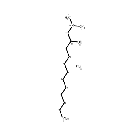 CCCCCCCCCCCCCCCCCCC(O)CN(C)C.Cl